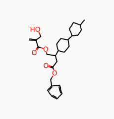 C=C(CO)C(=O)OCC(CC(=O)OCc1ccccc1)C1CCC(C2CCC(C)CC2)CC1